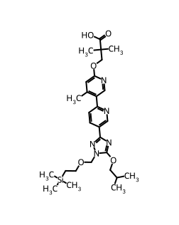 Cc1cc(OCC(C)(C)C(=O)O)ncc1-c1ccc(-c2nc(OCC(C)C)n(COCC[Si](C)(C)C)n2)cn1